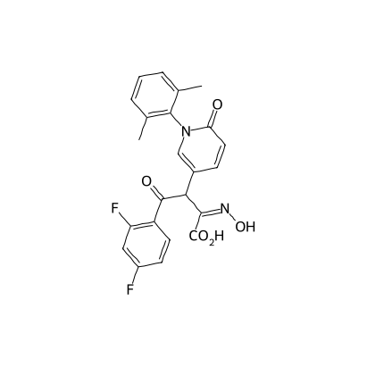 Cc1cccc(C)c1-n1cc(C(C(=O)c2ccc(F)cc2F)C(=NO)C(=O)O)ccc1=O